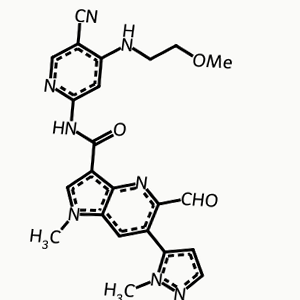 COCCNc1cc(NC(=O)c2cn(C)c3cc(-c4ccnn4C)c(C=O)nc23)ncc1C#N